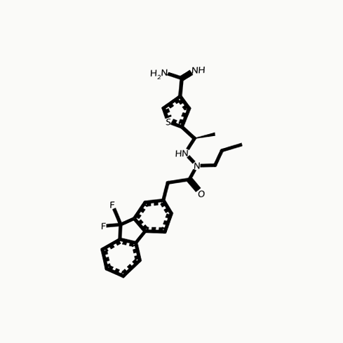 CCCN(N[C@H](C)c1cc(C(=N)N)cs1)C(=O)Cc1ccc2c(c1)C(F)(F)c1ccccc1-2